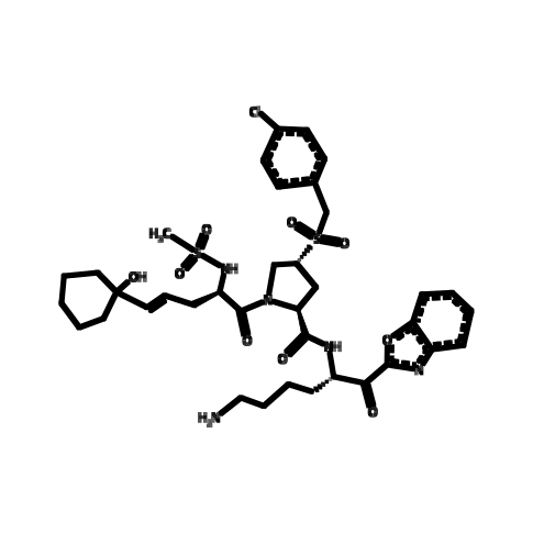 CS(=O)(=O)N[C@H](C/C=C/C1(O)CCCCC1)C(=O)N1C[C@H](S(=O)(=O)Cc2ccc(Cl)cc2)C[C@H]1C(=O)N[C@@H](CCCCN)C(=O)c1nc2ccccc2o1